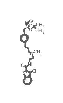 CN(CCCc1ccc(CN(C=O)OC(C)(C)C)cc1)CCNC(=O)c1sc2ccccc2c1Cl